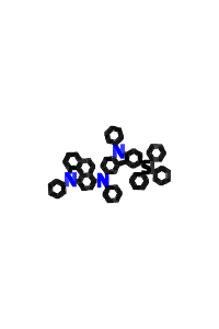 c1ccc(N(c2ccc3c(c2)c2cc([Si](c4ccccc4)(c4ccccc4)c4ccccc4)ccc2n3-c2ccccc2)c2ccc3c4c2ccc2cccc(c24)n3-c2ccccc2)cc1